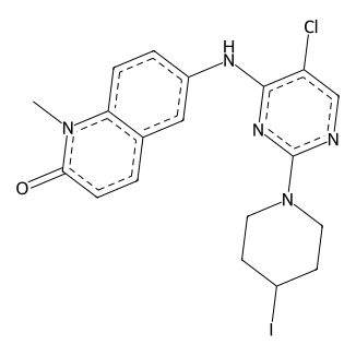 Cn1c(=O)ccc2cc(Nc3nc(N4CCC(I)CC4)ncc3Cl)ccc21